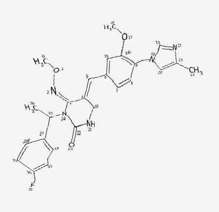 CO/N=C1\C(=C\c2ccc(-n3cnc(C)c3)c(OC)c2)CNC(=O)N1C(C)c1ccc(F)cc1